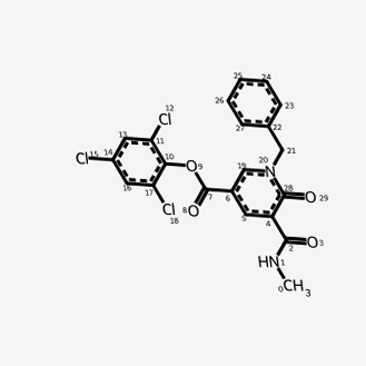 CNC(=O)c1cc(C(=O)Oc2c(Cl)cc(Cl)cc2Cl)cn(Cc2ccccc2)c1=O